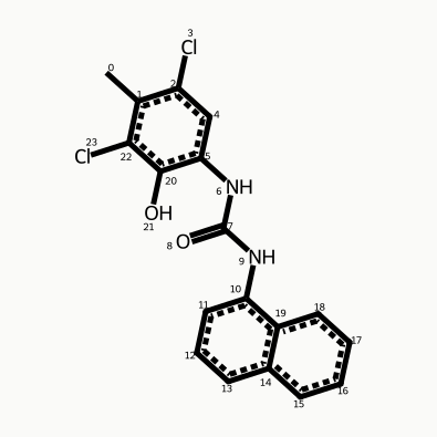 Cc1c(Cl)cc(NC(=O)Nc2cccc3ccccc23)c(O)c1Cl